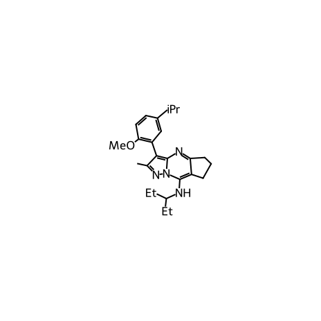 CCC(CC)Nc1c2c(nc3c(-c4cc(C(C)C)ccc4OC)c(C)nn13)CCC2